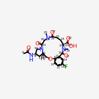 CC(=O)N[C@H]1C[C@H]2COc3ccc(F)cc3C(=O)N(C)[C@H](C(=O)O)CCC(=O)N(C)CC(=O)N2C1